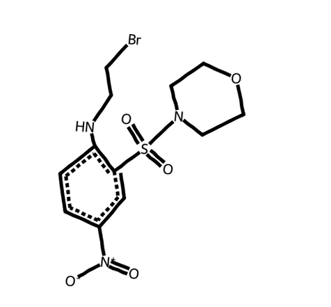 O=[N+]([O-])c1ccc(NCCBr)c(S(=O)(=O)N2CCOCC2)c1